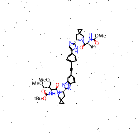 COCC(COC)[C@H](NC(=O)OC(C)(C)C)C(=O)N1CC2(CC2)C[C@H]1c1nc2ccc(C#Cc3ccc(-c4cnc([C@@H]5CC6(CC6)CN5C(=O)[C@@H](NC(=O)OC)C(C)C)[nH]4)cc3)cc2[nH]1